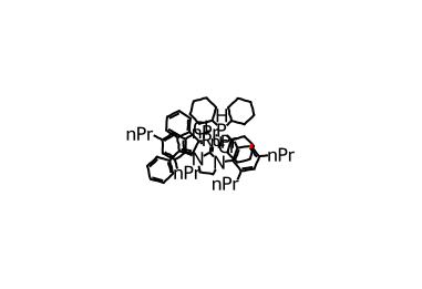 CCCc1cc(CCC)c(N2CCN(c3c(CCC)cc(CCC)cc3CCC)[C]2=[Ru]([Cl])([Cl])(=[C]2C=C(c3ccccc3)c3ccccc32)[PH](C2CCCCC2)(C2CCCCC2)C2CCCCC2)c(CCC)c1